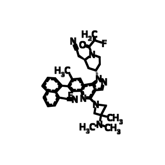 C=C(F)C(=O)N1CC[C@H](n2ncc3c(N4CC(C)(N(C)C)C4)nc4c(F)c(-c5cccc6cccc(C#N)c56)c(C)cc4c32)C[C@H]1CC#N